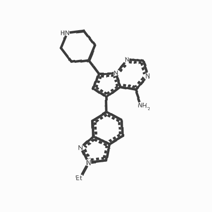 CCn1cc2ccc(-c3cc(C4CCNCC4)n4ncnc(N)c34)cc2n1